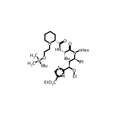 CCCCCCN(C(=O)[C@@H](NC(=O)[C@H]1CCCCN1CCO[Si](C)(C)C(C)(C)C)[C@@H](C)CC)[C@H](C[C@@H](OCC)c1nc(C(=O)OCC)cs1)C(C)C